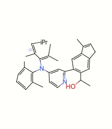 CC1=CCc2cc(C(C)O)c(-c3cc(N(C(=C(C)C)/C(C)=C\C(C)C)c4c(C)cccc4C)ccn3)cc21